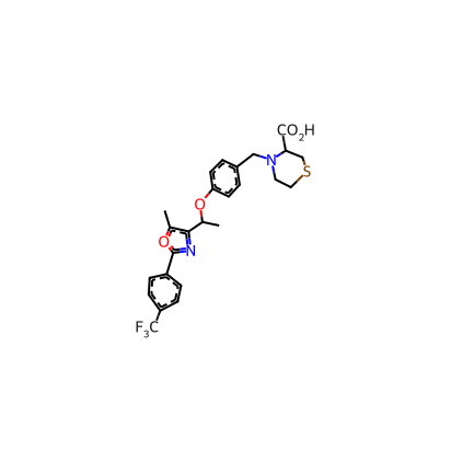 Cc1oc(-c2ccc(C(F)(F)F)cc2)nc1C(C)Oc1ccc(CN2CCSCC2C(=O)O)cc1